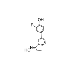 ON=C1CCc2ccc(-c3ccc(O)c(F)c3)cc21